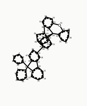 c1ccc(C2(c3ccccc3)c3ccccc3-c3cc(-c4ccc(C56c7ccccc7Oc7cccc(c75)-c5ccccc56)cc4)ccc32)cc1